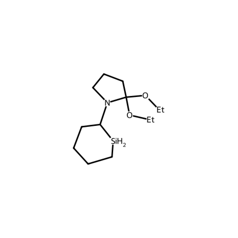 CCOC1(OCC)CCCN1C1CCCC[SiH2]1